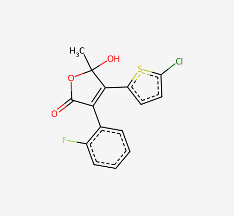 CC1(O)OC(=O)C(c2ccccc2F)=C1c1ccc(Cl)s1